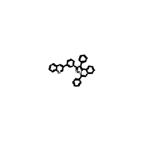 c1ccc(-c2c(-c3cccc(-c4cnc5ccccc5c4)c3)nn3c(-c4ccccc4)cc4ccccc4c23)cc1